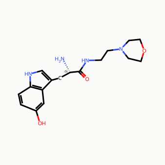 N[C@@H](Cc1c[nH]c2ccc(O)cc12)C(=O)NCCN1CCOCC1